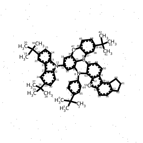 CC(C)(C)c1ccc(N2c3cc(-n4c5ccc(C(C)(C)C)cc5c5cc(C(C)(C)C)ccc54)cc4c3B(c3cc(C(C)(C)C)ccc3O4)c3ccc4c(oc5ccc6c(c54)CCC6)c32)cc1